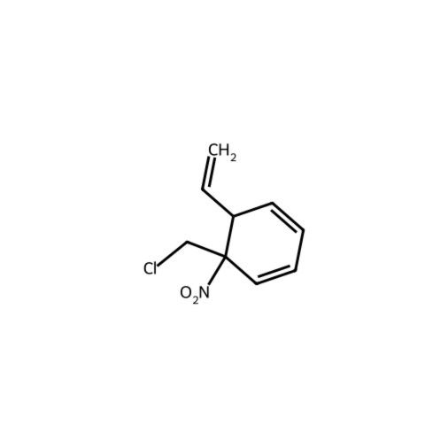 C=CC1C=CC=CC1(CCl)[N+](=O)[O-]